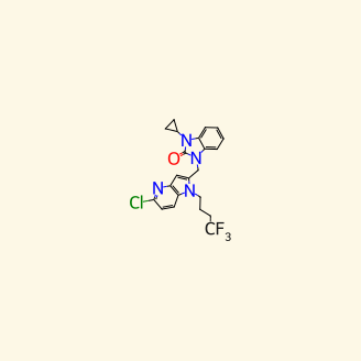 O=c1n(Cc2cc3nc(Cl)ccc3n2CCCC(F)(F)F)c2ccccc2n1C1CC1